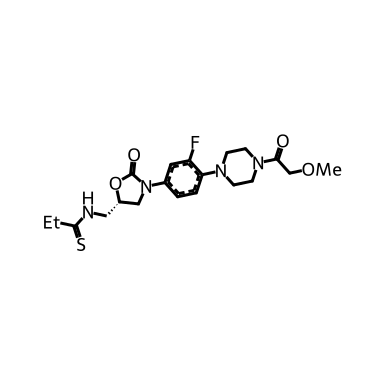 CCC(=S)NC[C@H]1CN(c2ccc(N3CCN(C(=O)COC)CC3)c(F)c2)C(=O)O1